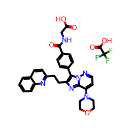 O=C(O)C(F)(F)F.O=C(O)CNC(=O)c1ccc(-c2c(CCc3ccc4ccccc4n3)nc3c(N4CCOCC4)ccnn23)cc1